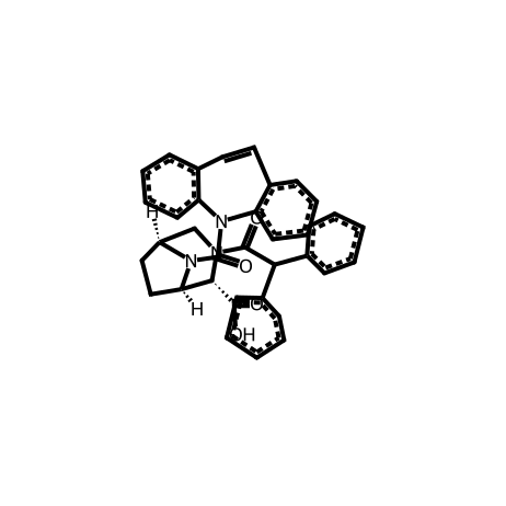 O=C(O)[C@@H]1[C@H]2CC[C@@H](CN1C(=O)C(c1ccccc1)c1ccccc1)N2C(=O)N1c2ccccc2C=Cc2ccccc21